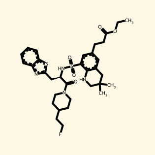 CCOC(=O)CCc1cc2c(c(S(=O)(=O)N[C@H](Cc3nc4ccccc4s3)C(=O)N3CCC(CCF)CC3)c1)NCC(C)(C)C2